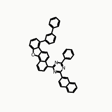 c1ccc(-c2cccc(-c3cccc4oc5c6cccc(-c7nc(-c8ccccc8)nc(-c8ccc9ccccc9c8)n7)c6ccc5c34)c2)cc1